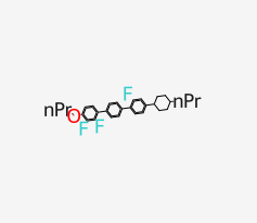 CCCOc1ccc(-c2ccc(-c3ccc(C4CCC(CCC)CC4)cc3F)cc2)c(F)c1F